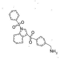 NCc1ccc(S(=O)(=O)c2cn(S(=O)(=O)c3ccccc3)c3ccccc23)cc1